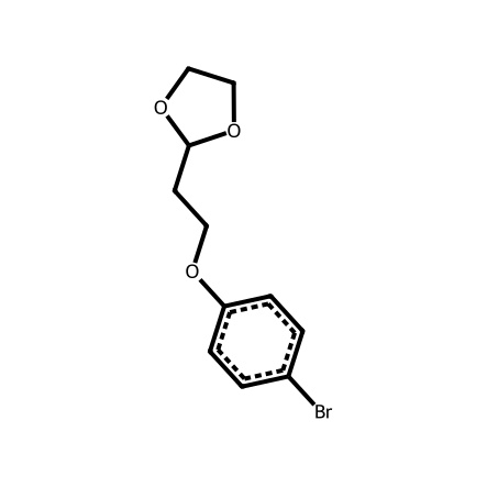 Brc1ccc(OCCC2OCCO2)cc1